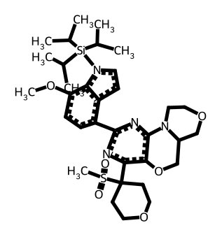 COc1ccc(-c2nc3c(c(C4(S(C)(=O)=O)CCOCC4)n2)OCC2COCCN32)c2ccn([Si](C(C)C)(C(C)C)C(C)C)c12